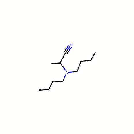 CCCCN(CCCC)C(C)C#N